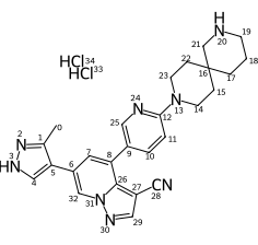 Cc1n[nH]cc1-c1cc(-c2ccc(N3CCC4(CCCNC4)CC3)nc2)c2c(C#N)cnn2c1.Cl.Cl